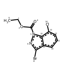 CCOC(=O)n1nc(Br)c2cccc(Cl)c21